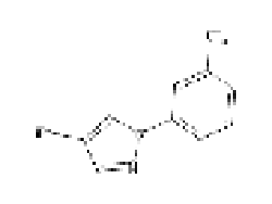 CC(C)c1cnn(-c2cccc(C(F)(F)F)c2)c1